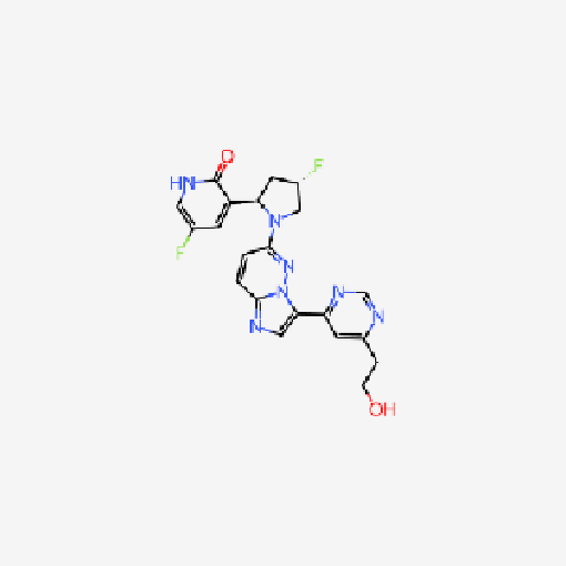 O=c1[nH]cc(F)cc1[C@H]1C[C@H](F)CN1c1ccc2ncc(-c3cc(CCO)ncn3)n2n1